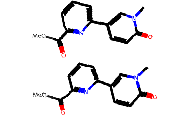 COC(=O)c1cccc(-c2ccc(=O)n(C)c2)n1.COC(=O)c1cccc(-c2ccc(=O)n(C)c2)n1